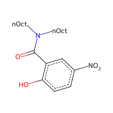 CCCCCCCCN(CCCCCCCC)C(=O)c1cc([N+](=O)[O-])ccc1O